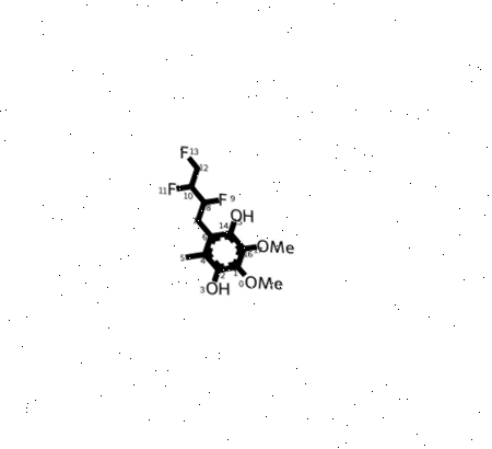 COc1c(O)c(C)c(CC(F)C(F)CF)c(O)c1OC